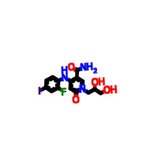 NC(=O)c1cn(CC(O)CO)c(=O)cc1Nc1ccc(I)cc1F